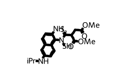 COC(=O)CC(C(=O)OC)C(=S)N(S)c1c(N)ccc2cc(NC(C)C)ccc12